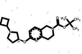 CC(C)(C)OC(=O)N1CCc2nc(O[C@H]3CCN(C4CCC4)C3)ccc2C1